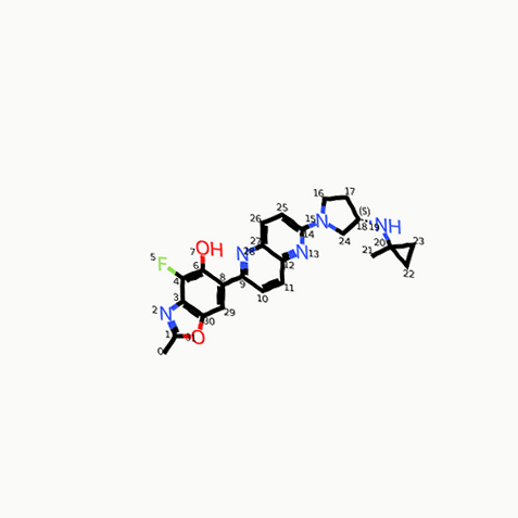 Cc1nc2c(F)c(O)c(-c3ccc4nc(N5CC[C@H](NC6(C)CC6)C5)ccc4n3)cc2o1